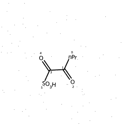 CCCC(=O)C(=O)S(=O)(=O)O